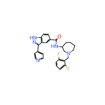 O=C(NC1CCCCN(Cc2c(F)cccc2F)C1)c1ccc2[nH]nc(-c3ccncc3)c2c1